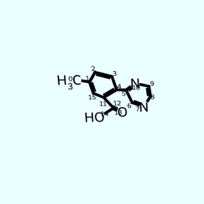 Cc1ccc(-c2cnccn2)c(C(=O)O)c1